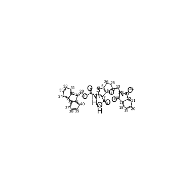 O=C(Nc1sc2c(c1C(=O)O)OC(CN1C(=O)c3ccccc3C1=O)CC2)OCC1c2ccccc2-c2ccccc21